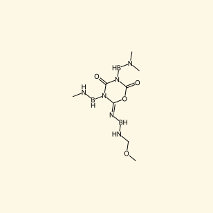 CNBn1c(=O)n(BN(C)C)c(=O)o/c1=N\BNCOC